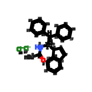 CCCCC(=O)[NH][Zr+2]([CH]1C=Cc2ccccc21)[SiH](c1ccccc1)c1ccccc1.[Cl-].[Cl-]